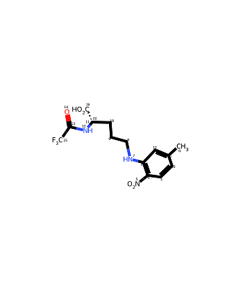 Cc1ccc([N+](=O)[O-])c(NCCC[C@H](NC(=O)C(F)(F)F)C(=O)O)c1